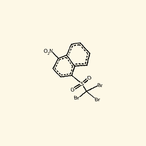 O=[N+]([O-])c1ccc(S(=O)(=O)C(Br)(Br)Br)c2ccccc12